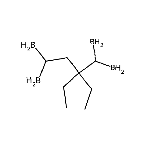 BC(B)CC(CC)(CC)C(B)B